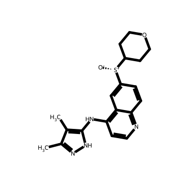 Cc1n[nH]c(Nc2ccnc3ccc([S@+]([O-])C4CCOCC4)cc23)c1C